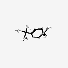 CC(C)(C)C1=CCP(C)(=O)CC1